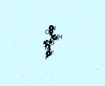 C[C@@H]1CN(CC(=O)N2CC(C)(C)c3cnc(Cc4ccc(F)cc4F)cc32)[C@@H](CN2Cc3ncccc3C2=O)CN1